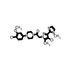 COc1cc(N2CCN(C(=O)Cn3nc(-c4nccn4C)c(Cl)c3C)CC2)ccc1Cl